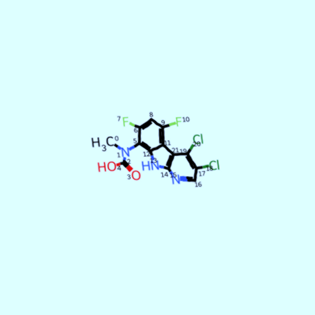 CN(C(=O)O)c1c(F)cc(F)c2c1[nH]c1ncc(Cl)c(Cl)c12